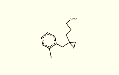 Cc1ccccc1CC1(CCCC=O)CC1